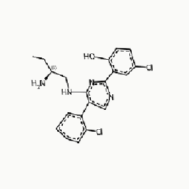 CC[C@H](N)CNc1nc(-c2cc(Cl)ccc2O)ncc1-c1ccccc1Cl